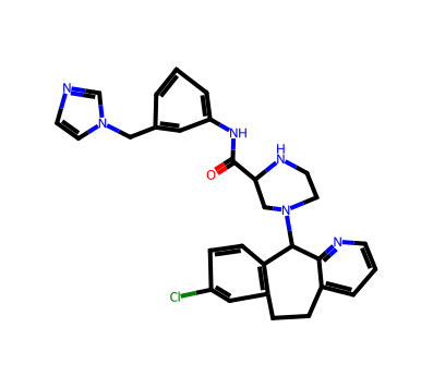 O=C(Nc1cccc(Cn2ccnc2)c1)C1CN(C2c3ccc(Cl)cc3CCc3cccnc32)CCN1